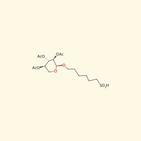 CC(=O)O[C@@H]1[C@@H](OC(C)=O)[C@@H](OCCCCCCS(=O)(=O)O)OC[C@H]1OC(C)=O